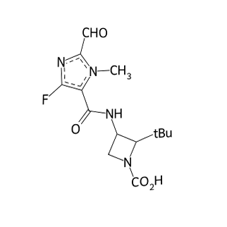 Cn1c(C=O)nc(F)c1C(=O)NC1CN(C(=O)O)C1C(C)(C)C